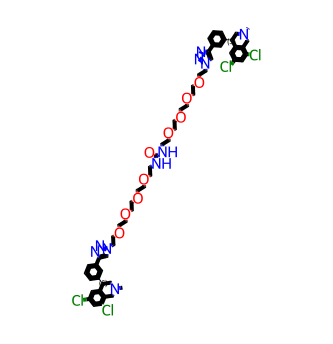 CN1Cc2c(Cl)cc(Cl)cc2[C@H](c2cccc(-c3cn(CCOCCOCCOCCOCCNC(=O)NCCOCCOCCOCCOCCn4cc(-c5cccc([C@@H]6CN(C)Cc7c(Cl)cc(Cl)cc76)c5)nn4)nn3)c2)C1